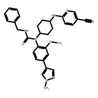 COc1cc(-c2cnn(C)c2)ccc1N(C(=O)NCc1ccccc1)C1CCC(Nc2ccc(C#N)cn2)CC1